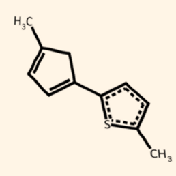 CC1=CC=C(c2ccc(C)s2)C1